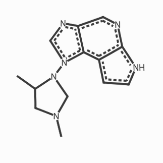 CC1CN(C)CN1n1cnc2cnc3[nH]ccc3c21